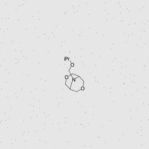 CC(C)OCN1CC2COCC1COC2